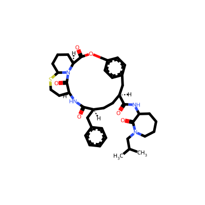 CC(C)CN1CCCCC(NC(=O)[C@H]2CC[C@@H](Cc3ccccc3)C(=O)N[C@H]3CCSC4CCC[C@@H](C(=O)Oc5ccc(cc5)C2)N4C3=O)C1=O